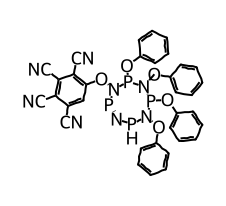 N#Cc1cc(On2pn[pH]n(Oc3ccccc3)p(Oc3ccccc3)n(Oc3ccccc3)p2Oc2ccccc2)c(C#N)c(C#N)c1C#N